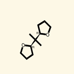 CC(C)([C@H]1CCCO1)[C@H]1CCCO1